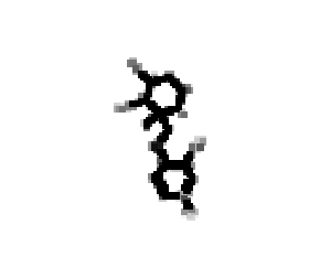 CC1(COc2cc[n+]([O-])cc2Br)CCCC(F)C1F